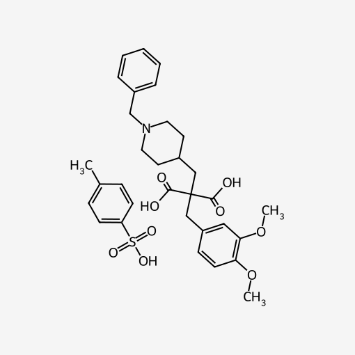 COc1ccc(CC(CC2CCN(Cc3ccccc3)CC2)(C(=O)O)C(=O)O)cc1OC.Cc1ccc(S(=O)(=O)O)cc1